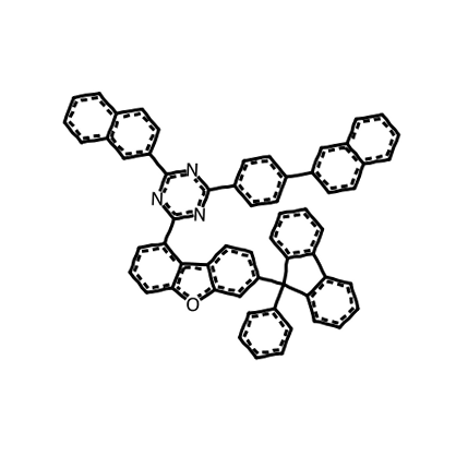 c1ccc(C2(c3ccc4c(c3)oc3cccc(-c5nc(-c6ccc(-c7ccc8ccccc8c7)cc6)nc(-c6ccc7ccccc7c6)n5)c34)c3ccccc3-c3ccccc32)cc1